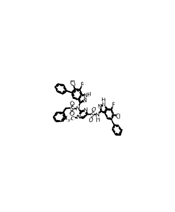 Cn1cc(S(=O)(=O)Nc2n[nH]c3c(F)c(Cl)c(-c4ccccc4)cc23)nc1N(c1n[nH]c2c(F)c(Cl)c(-c3ccccc3)cc12)S(=O)(=O)Cc1ccccc1